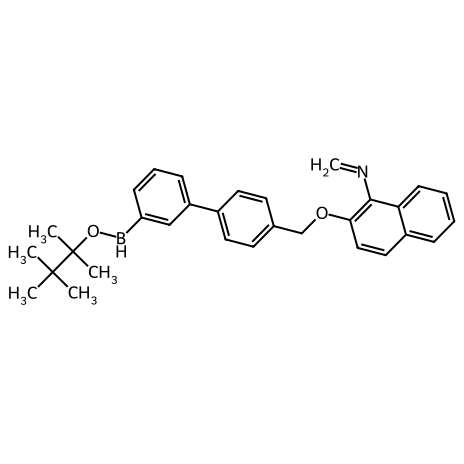 C=Nc1c(OCc2ccc(-c3cccc(BOC(C)(C)C(C)(C)C)c3)cc2)ccc2ccccc12